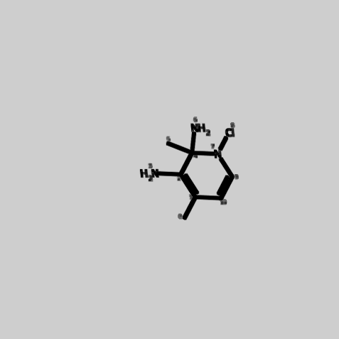 CC1=C(N)C(C)(N)N(Cl)C=C1